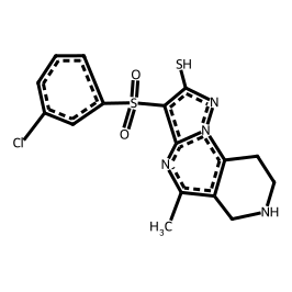 Cc1nc2c(S(=O)(=O)c3cccc(Cl)c3)c(S)nn2c2c1CNCC2